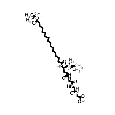 CC(C)(C)OC(=O)CCCCCCCCCCCCCCCCC(=O)NC(CCC(=O)NCC(=O)NCC(=O)NCC(=O)O)C(=O)OC(C)(C)C